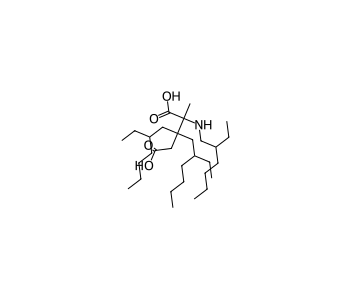 CCCCC(CC)CNC(C)(C(=O)O)C(CC(=O)O)(CC(CC)CCCC)CC(CC)CCCC